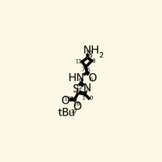 Cc1nc(NC(=O)C2CC(N)C2)sc1C(=O)OC(C)(C)C